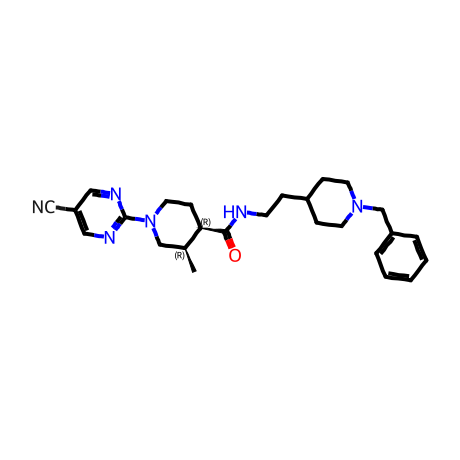 C[C@H]1CN(c2ncc(C#N)cn2)CC[C@H]1C(=O)NCCC1CCN(Cc2ccccc2)CC1